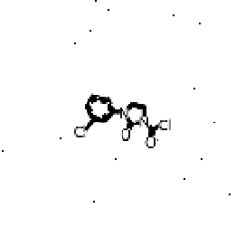 O=C(Cl)N1CCN(c2cccc(Cl)c2)C1=O